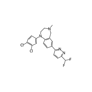 CN1CCN(c2ccc(Cl)c(Cl)c2)c2ccc(-c3ccc(C(F)F)nn3)cc2C1